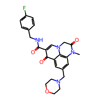 CN1C(=O)Cn2cc(C(=O)NCc3ccc(F)cc3)c(=O)c3cc(CN4CCOCC4)cc1c32